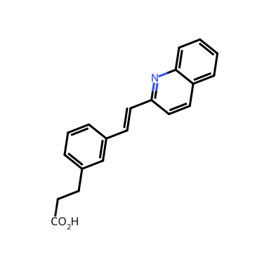 O=C(O)CCc1cccc(/C=C/c2ccc3ccccc3n2)c1